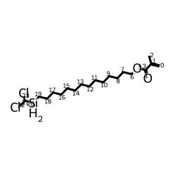 C=C(C)C(=O)OCCCCCCCCCCCCCC[SiH2]C(Cl)Cl